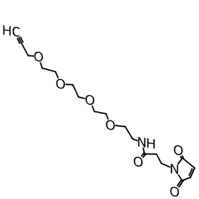 C#CCOCCOCCOCCOCCNC(=O)CCN1C(=O)C=CC1=O